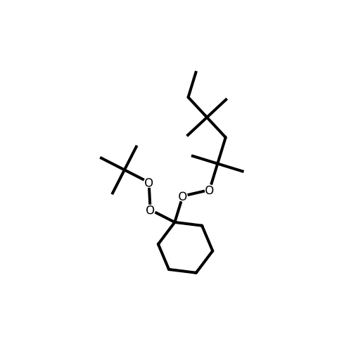 CCC(C)(C)CC(C)(C)OOC1(OOC(C)(C)C)CCCCC1